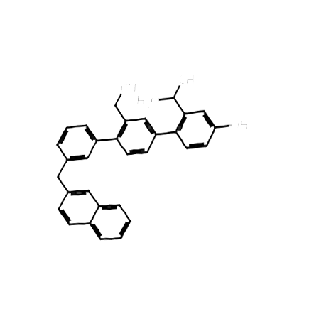 CCc1cc(-c2ccc(O)cc2C(C)C)ccc1-c1cccc(Cc2ccc3ccccc3c2)c1